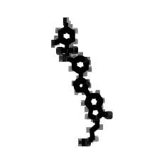 O=C1c2ccc(-c3ccc(-c4cncc(NS(=O)(=O)c5ccc(F)cc5F)c4)s3)cc2CN1CCCO